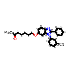 COC(=O)CCCCCOc1ccc2nc(-c3ccccc3)n(-c3cccc(C#N)c3)c2c1